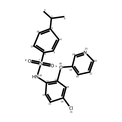 CC(C)c1ccc(S(=O)(=O)Nc2ccc(Cl)cc2Oc2cccnc2)cc1